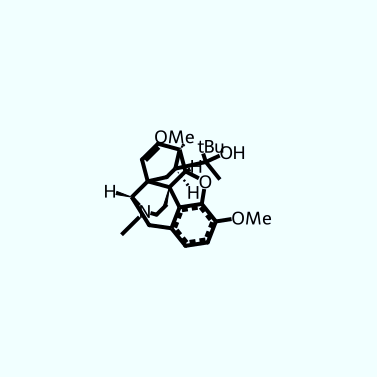 COc1ccc2c3c1O[C@H]1[C@]4(OC)C=CC5(C[C@@H]4C(C)(O)C(C)(C)C)[C@@H](C2)N(C)CC[C@]315